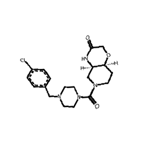 O=C1CO[C@H]2CCN(C(=O)N3CCN(Cc4ccc(Cl)cc4)CC3)C[C@H]2N1